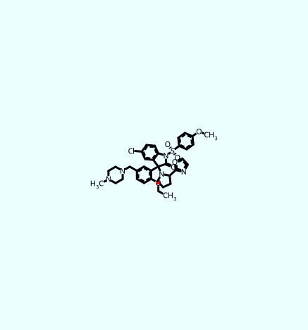 CCOc1ccc(CN2CCN(C)CC2)cc1C1(N2CCCC2c2ncco2)C(=O)N(S(=O)(=O)c2ccc(OC)cc2)c2ccc(Cl)cc21